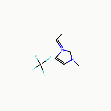 CC=[N+]1C=CN(C)C1.F[B-](F)(F)F